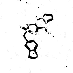 O=C(NO)[C@@H](Cn1cccn1)NS(=O)(=O)Cc1ccc2sccc2c1